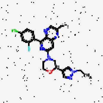 CCn1cc([C@@H]2CN(c3cc4nc(C)cnc4c(-c4ccc(Cl)cc4F)n3)CCO2)cn1